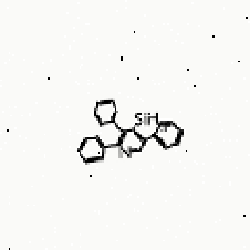 [SiH3]c1c(-c2ccccc2)cnc(-c2ccccc2)c1-c1ccccc1